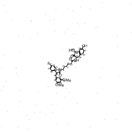 COc1cc(/C=C(\C(=O)NCCCCCC(=O)NC(Cc2ccc(O)cc2)C(=O)NO)c2ccc(F)cc2)cc(OC)c1